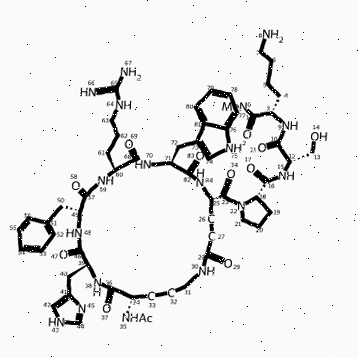 CNC(=O)[C@H](CCCCN)NC(=O)[C@H](CO)NC(=O)[C@@H]1CCCN1C(=O)[C@@H]1CCC(=O)NCCC[C@H](NC(C)=O)C(=O)N[C@@H](Cc2c[nH]cn2)C(=O)N[C@H](Cc2ccccc2)C(=O)N[C@@H](CCCNC(=N)N)C(=O)N[C@@H](Cc2c[nH]c3ccccc23)C(=O)N1